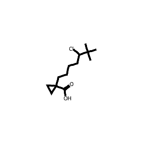 CC(C)(C)C(Cl)CCCCC1(C(=O)O)CC1